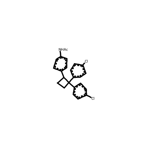 CC(=O)Nc1ccc(C2CCC2(c2ccc(Cl)cc2)c2ccc(Cl)cc2)cc1